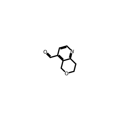 O=Cc1ccnc2c1COCC2